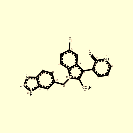 O=C(O)c1c(-c2ccc[nH]c2=O)c2cc(Cl)ccc2n1Cc1ccc2nn[nH]c2c1